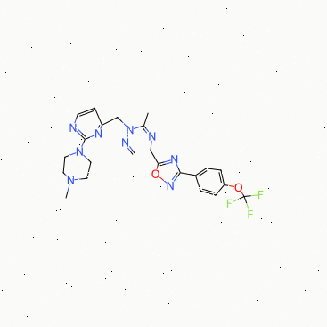 C=NN(Cc1ccnc(N2CCN(C)CC2)n1)/C(C)=N\Cc1nc(-c2ccc(OC(F)(F)F)cc2)no1